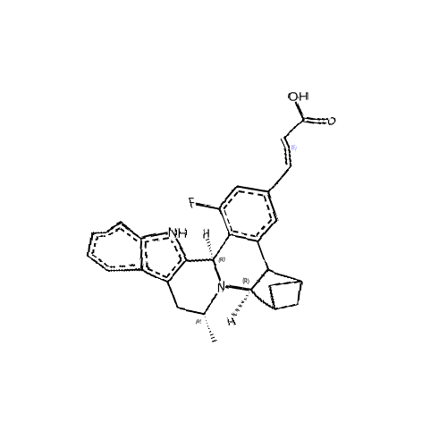 C[C@@H]1Cc2c([nH]c3ccccc23)[C@H]2c3c(F)cc(/C=C/C(=O)O)cc3C3C4CC(C4)[C@H]3N21